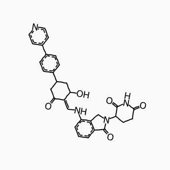 O=C1CCC(N2Cc3c(N/C=C4/C(=O)CC(c5ccc(-c6ccncc6)cc5)CC4O)cccc3C2=O)C(=O)N1